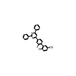 N#Cc1ccc(F)c(-c2ccc(-c3cc(-c4ccccc4)nc(-c4ccccc4)n3)cc2F)c1